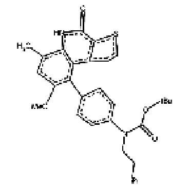 COc1cc(C)c2[nH]c(=O)c3sccc3c2c1-c1ccc(N(CCC(C)C)C(=O)OC(C)(C)C)cc1